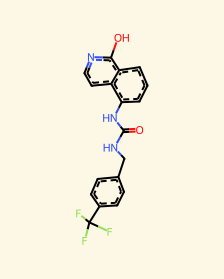 O=C(NCc1ccc(C(F)(F)F)cc1)Nc1cccc2c(O)nccc12